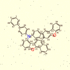 c1ccc(-c2ccc(N(c3ccccc3)c3cccc4oc5c6ccccc6c(-c6ccc7c(c6)oc6ccccc67)cc5c34)cc2)cc1